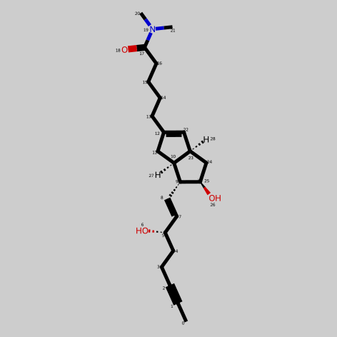 CC#CCC[C@H](O)/C=C/[C@@H]1[C@H]2CC(CCCCC(=O)N(C)C)=C[C@H]2C[C@H]1O